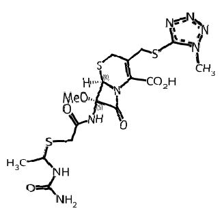 CO[C@@]1(NC(=O)CSC(C)NC(N)=O)C(=O)N2C(C(=O)O)=C(CSc3nnnn3C)CS[C@@H]21